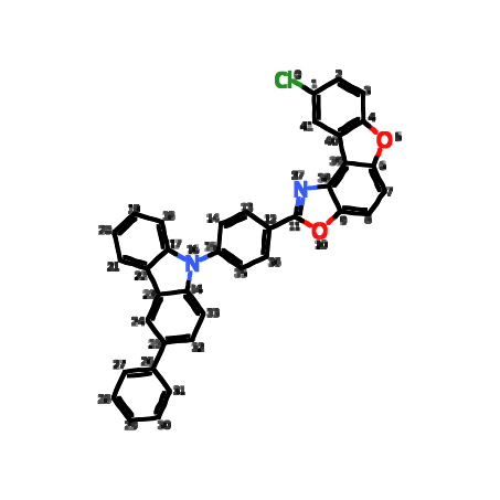 Clc1ccc2oc3ccc4oc(-c5ccc(-n6c7ccccc7c7cc(-c8ccccc8)ccc76)cc5)nc4c3c2c1